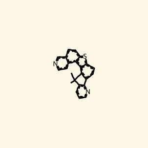 CC1(C)c2cccnc2-c2ccc3sc4ccc5cnccc5c4c3c21